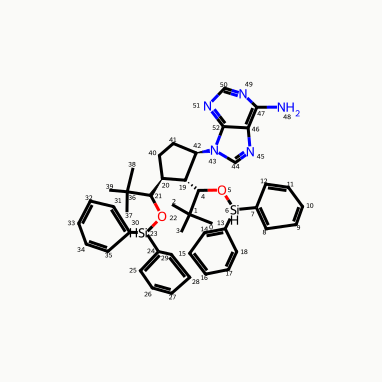 CC(C)(C)C(O[SiH](c1ccccc1)c1ccccc1)[C@@H]1[C@@H](C(O[SiH](c2ccccc2)c2ccccc2)C(C)(C)C)CC[C@H]1n1cnc2c(N)ncnc21